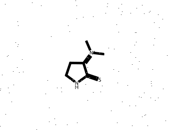 C[N+](C)=C1CCNC1=S